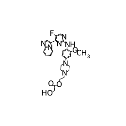 COc1cc(N2CCN(CCOC(=O)CO)CC2)ccc1Nc1ncc(F)c(-c2cnc3ccccn23)n1